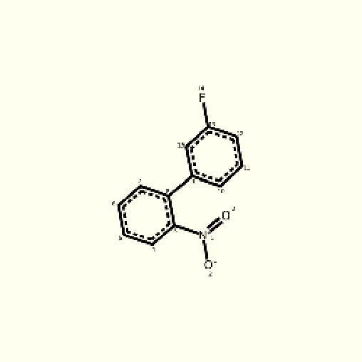 O=[N+]([O-])c1ccccc1-c1cccc(F)c1